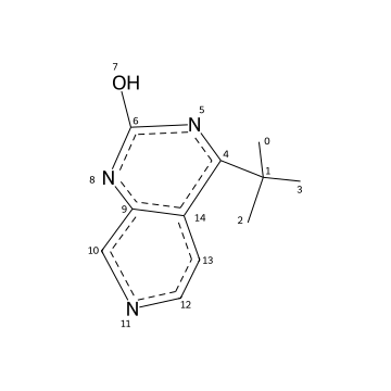 CC(C)(C)c1nc(O)nc2cnccc12